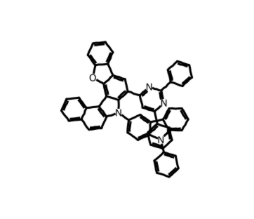 c1ccc(-c2cc(-c3cc4c5ccccc5oc4c4c5c6ccccc6ccc5n(-c5ccc6c(c5)c5ccccc5n6-c5ccccc5)c34)nc(-c3ccccc3)n2)cc1